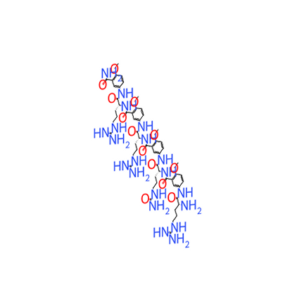 COc1ccc(NC(=O)[C@@H](CCCNC(=N)N)NC(=O)c2cc(NC(=O)[C@@H](CCCNC(=N)N)NC(=O)c3cc(NC(=O)[C@@H](CCCNC(N)=O)NC(=O)c4cc(NC(=O)[C@H](N)CCCNC(=N)N)ccc4OC)ccc3OC)ccc2OC)cc1C(N)=O